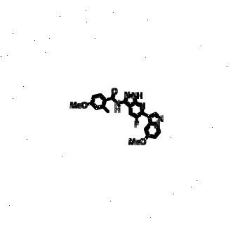 COc1ccc(C(=O)Nc2n[nH]c3nc(-c4cnn5ccc(OC)cc45)c(F)cc23)c(C)c1